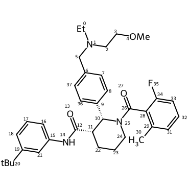 CCN(CCOC)Cc1ccc([C@H]2[C@@H](C(=O)Nc3cccc(C(C)(C)C)c3)CCCN2C(=O)c2c(C)cccc2F)cc1